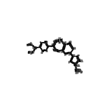 CCCCN(C)c1cnc(C(=O)Nc2cc(-c3cnn(C)c3)ccc2N)cn1